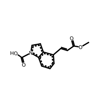 COC(=O)/C=C/c1cccc2c1ccn2C(=O)O